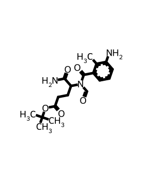 Cc1c(N)cccc1C(=O)N(C=O)C(CCC(=O)OC(C)(C)C)C(N)=O